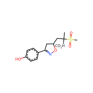 CC(CC1CC(c2ccc(O)cc2)=NO1)(C(=O)O)S(C)(=O)=O